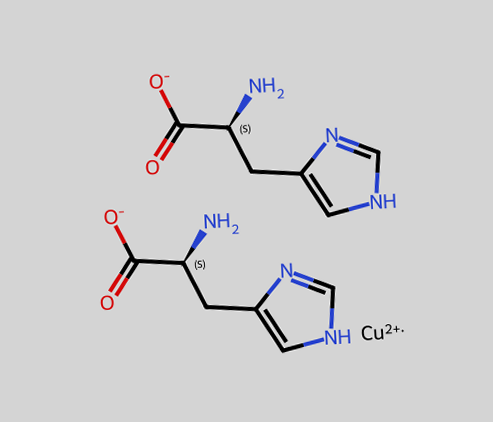 N[C@@H](Cc1c[nH]cn1)C(=O)[O-].N[C@@H](Cc1c[nH]cn1)C(=O)[O-].[Cu+2]